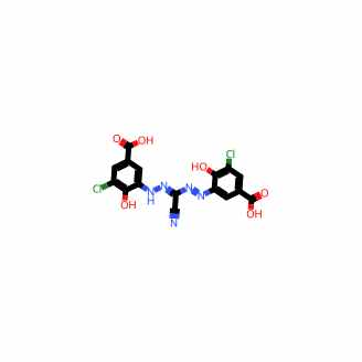 N#CC(/N=N/c1cc(C(=O)O)cc(Cl)c1O)=N\Nc1cc(C(=O)O)cc(Cl)c1O